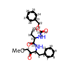 COCC(=O)C(Cc1ccccc1)NC(=O)C(CC(C)C)NC(=O)OCc1ccccc1